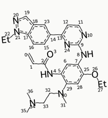 C=CC(=O)Nc1cc(Nc2nccc(-c3ccc4c(cnn4CC)c3)n2)c(OCC)cc1N(C)CCN(C)C